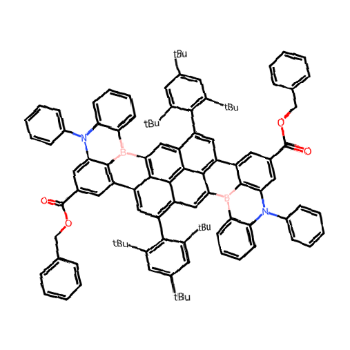 CC(C)(C)c1cc(C(C)(C)C)c(-c2cc3c4c(cc5c(-c6c(C(C)(C)C)cc(C(C)(C)C)cc6C(C)(C)C)cc6c7c(cc2c4c57)B2c4ccccc4N(c4ccccc4)c4cc(C(=O)OCc5ccccc5)cc-6c42)B2c4ccccc4N(c4ccccc4)c4cc(C(=O)OCc5ccccc5)cc-3c42)c(C(C)(C)C)c1